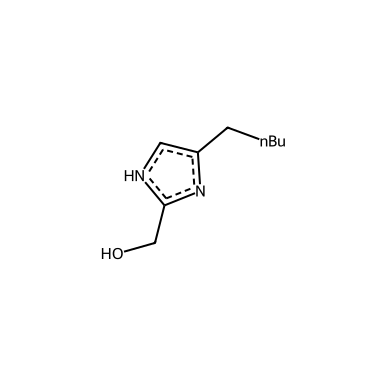 CCCCCc1c[nH]c(CO)n1